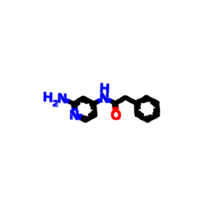 Nc1cc(NC(=O)Cc2ccccc2)ccn1